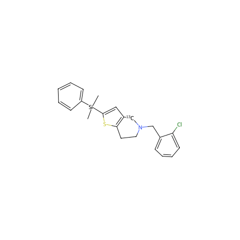 C[Si](C)(c1ccccc1)c1cc2c(s1)CCN(Cc1ccccc1Cl)[13CH2]2